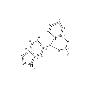 CN1Cc2ccccc2C(c2cc3nccn3cn2)C1